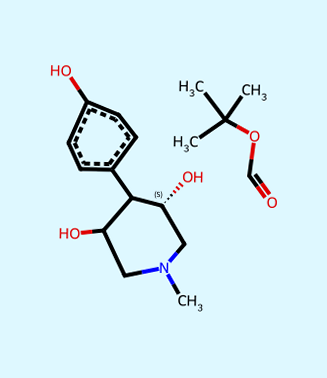 CC(C)(C)OC=O.CN1CC(O)C(c2ccc(O)cc2)[C@H](O)C1